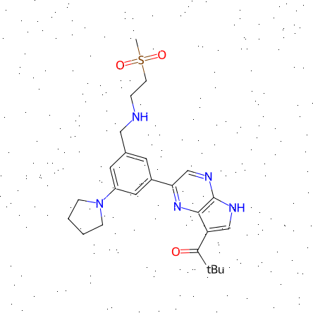 CC(C)(C)C(=O)c1c[nH]c2ncc(-c3cc(CNCCS(C)(=O)=O)cc(N4CCCC4)c3)nc12